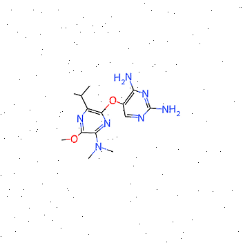 COc1nc(C(C)C)c(Oc2cnc(N)nc2N)nc1N(C)C